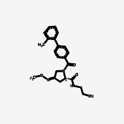 CON=C1C[C@@H](C(=O)NCCO)N(C(=O)c2ccc(-c3ccccc3C)cc2)C1